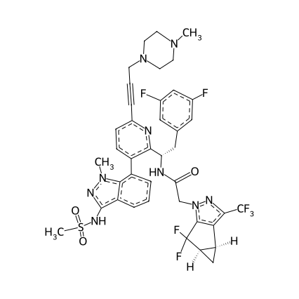 CN1CCN(CC#Cc2ccc(-c3cccc4c(NS(C)(=O)=O)nn(C)c34)c([C@H](Cc3cc(F)cc(F)c3)NC(=O)Cn3nc(C(F)(F)F)c4c3C(F)(F)[C@@H]3C[C@H]43)n2)CC1